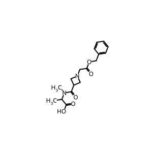 CC(C(=O)O)N(C)C(=O)C1CN(CC(=O)OCc2ccccc2)C1